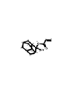 C=CC(=O)OC1(C(C)C)C2CC3CC(C2)CC1C3